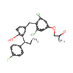 CCC(c1ccc(F)cc1)c1cc(Cc2c(Cl)cc(OCC(C)=O)cc2Cl)ccc1O